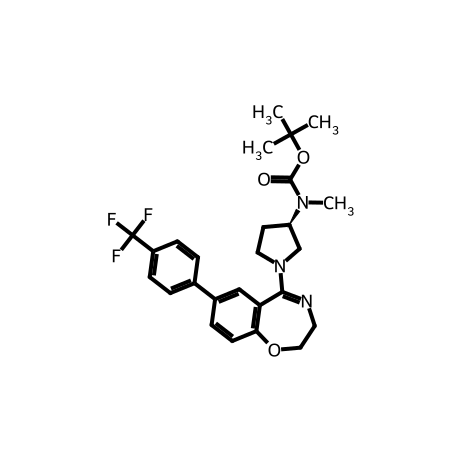 CN(C(=O)OC(C)(C)C)[C@@H]1CCN(C2=NCCOc3ccc(-c4ccc(C(F)(F)F)cc4)cc32)C1